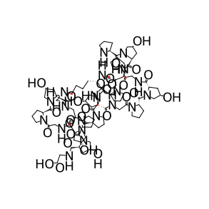 NCCCC[C@H](NC(=O)[C@@H]1CCCN1C(=O)CNC(=O)[C@@H]1C[C@@H](O)CN1C(=O)[C@@H]1CCCN1C(=O)CNC(=O)[C@@H]1C[C@@H](O)CN1C(=O)[C@@H]1CCCN1C(=O)CNC(=O)[C@@H]1C[C@@H](O)CN1C(=O)[C@@H]1CCCN1)C(=O)NCC(=O)N1CCC[C@H]1C(=O)N1C[C@H](O)C[C@H]1C(=O)NCC(=O)N1CCC[C@H]1C(=O)N1C[C@H](O)C[C@H]1C(=O)NCC(=O)N1CCC[C@H]1C(=O)N1C[C@H](O)C[C@H]1C(=O)NCC(=O)O